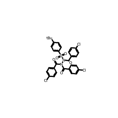 CC(C)(C)c1ccc(S(=O)(=O)N(C(=O)c2ccc(Cl)cc2)N(C(=O)c2ccc(Cl)cc2)C(=O)c2ccc(Cl)cc2)cc1